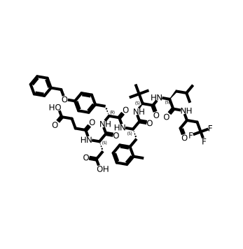 Cc1ccccc1C[C@H](NC(=O)[C@@H](Cc1ccc(OCc2ccccc2)cc1)NC(=O)[C@H](CC(=O)O)NC(=O)CCC(=O)O)C(=O)N[C@H](C(=O)N[C@@H](CC(C)C)C(=O)NC(C=O)CC(F)(F)F)C(C)(C)C